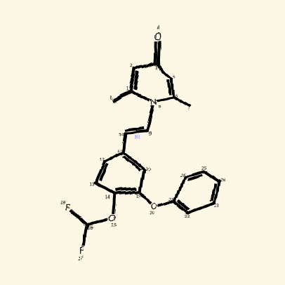 Cc1cc(=O)cc(C)n1/C=C/c1ccc(OC(F)F)c(Oc2ccccc2)c1